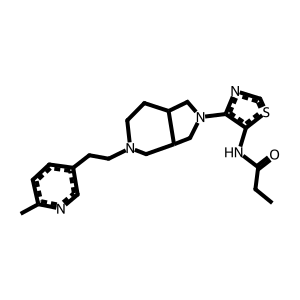 CCC(=O)Nc1scnc1N1CC2CCN(CCc3ccc(C)nc3)CC2C1